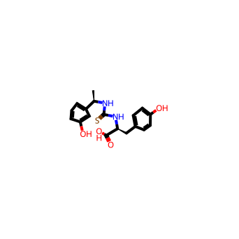 C[C@@H](NC(=S)N[C@@H](Cc1ccc(O)cc1)C(=O)O)c1cccc(O)c1